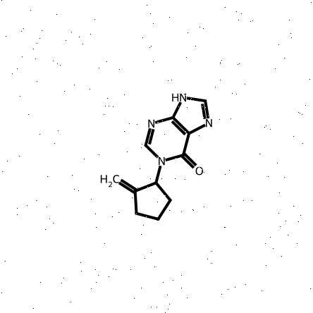 C=C1CCCC1n1cnc2[nH]cnc2c1=O